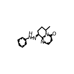 CC1CCC(=NNc2ccccc2)c2nccc(=O)n21